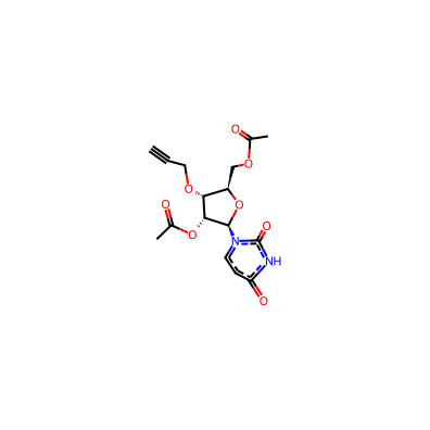 C#CCO[C@H]1[C@@H](OC(C)=O)[C@H](n2ccc(=O)[nH]c2=O)O[C@@H]1COC(C)=O